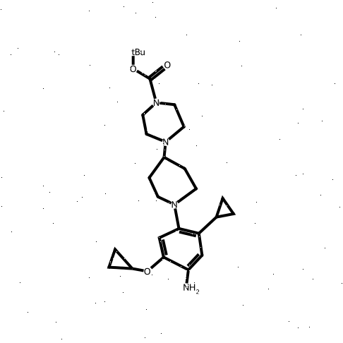 CC(C)(C)OC(=O)N1CCN(C2CCN(c3cc(OC4CC4)c(N)cc3C3CC3)CC2)CC1